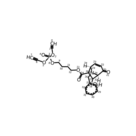 C#COP(=O)(OC#C)OCCCCOC(=O)C1C(C(=O)O)[C@@H]2C(=O)C=C[C@H]1N2Cc1ccccc1